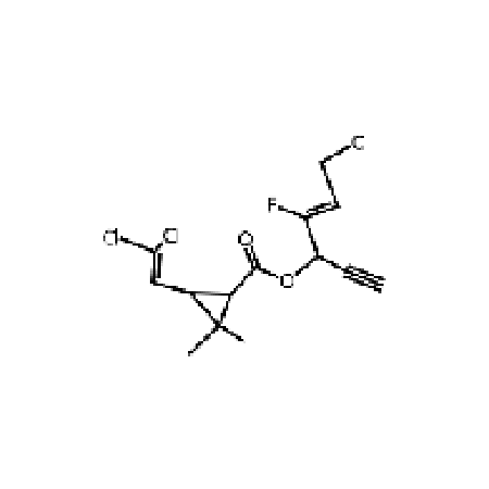 C#CC(OC(=O)C1C(C=C(Cl)Cl)C1(C)C)C(F)=CCCl